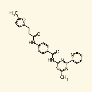 Cc1nc(NC(=O)c2ccc(NC(=O)CCc3ccc(C)o3)cc2)nc(-c2ccccn2)n1